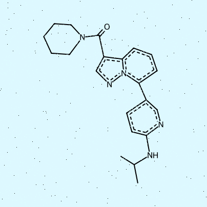 CC(C)Nc1ccc(-c2cccc3c(C(=O)N4CCCCC4)cnn23)cn1